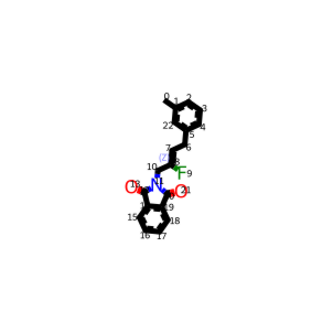 Cc1cccc(C/C=C(\F)CN2C(=O)c3ccccc3C2=O)c1